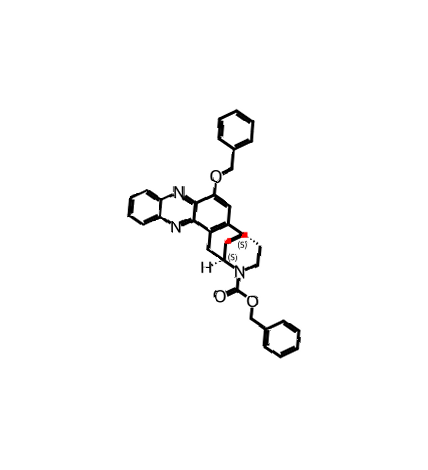 O=C(OCc1ccccc1)N1CC[C@@]23CCCCC2[C@@H]1Cc1c3cc(OCc2ccccc2)c2nc3ccccc3nc12